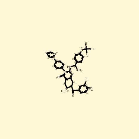 CC(Nc1nc2c(c(=O)n1-c1ccc(-n3cccn3)cc1)C[C@@H](C)C(C(=O)c1ccc(Cl)c(Cl)c1)C2)c1ccc(OC(F)(F)F)cc1